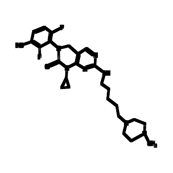 CN1CCN(CCCCCNc2ncc3c(n2)N(C2CC2)C(=O)N(c2c(F)ccc(O)c2F)C3)CC1